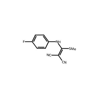 CSC(Nc1ccc(F)cc1)=C(C#N)C#N